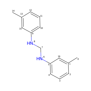 Cc1cccc(NCNc2cccc(C)c2)c1